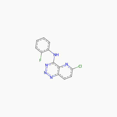 Fc1ccccc1Nc1nnnc2ccc(Cl)nc12